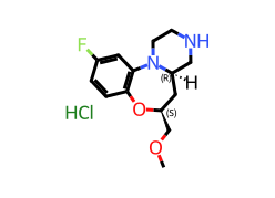 COC[C@@H]1C[C@@H]2CNCCN2c2cc(F)ccc2O1.Cl